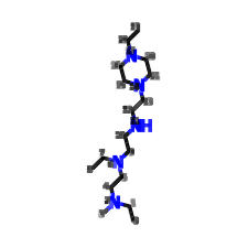 CCN(C)CCN(CC)CCNCCN1CCN(CC)CC1